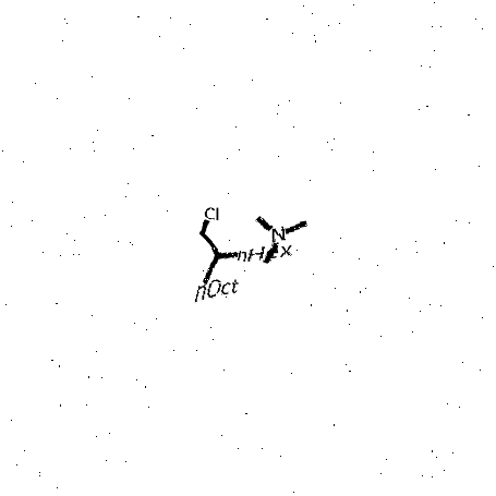 CCCCCCCCC(CCl)CCCCCC.CN(C)C